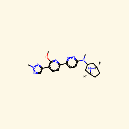 COc1nc(-c2ccc(N(C)C3C[C@H]4CC[C@@H](C3)N4)nn2)ccc1-c1cnn(C)n1